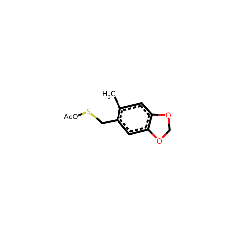 CC(=O)OSCc1cc2c(cc1C)OCO2